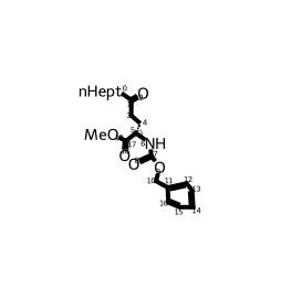 CCCCCCCC(=O)CC[C@H](NC(=O)OCc1ccccc1)C(=O)OC